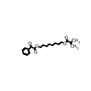 C=C(C)C(=O)OCCCCCCCCOC(=O)C(=O)c1ccccc1